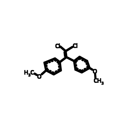 COc1ccc(C(=C(Cl)Cl)c2ccc(OC)cc2)cc1